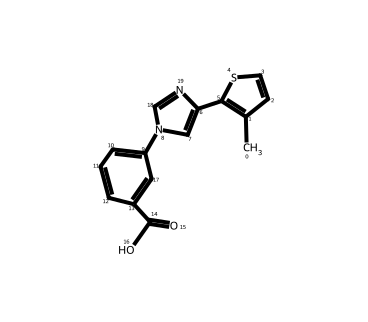 Cc1ccsc1-c1cn(-c2cccc(C(=O)O)c2)cn1